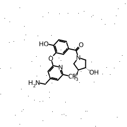 NCc1cc(Oc2cc(C(=O)N3C[C@H](O)[C@@H](F)C3)ccc2O)nc(C(F)(F)F)c1